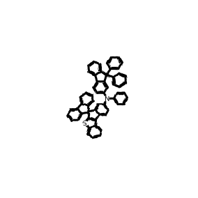 c1ccc(N(c2ccc3c(c2)C(c2ccccc2)(c2ccccc2)c2ccccc2-3)c2ccc3c(c2)C2(c4ccccc4-c4ccccc42)c2sc4ccccc4c2-3)cc1